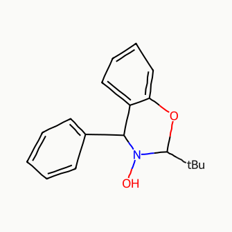 CC(C)(C)C1Oc2ccccc2C(c2ccccc2)N1O